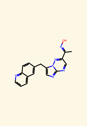 CC(=NO)c1cnc2ncc(Cc3ccc4ncccc4c3)n2n1